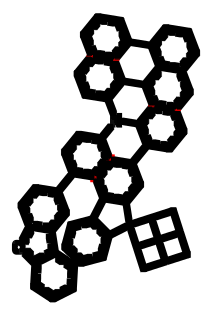 c1ccc(-c2cccc3cccc(-c4ccccc4N(c4ccc(-c5ccc6oc7ccccc7c6c5)cc4)c4ccccc4-c4ccc5c(c4)C4(c6ccccc6-5)C5CC6CC7CC4C675)c23)cc1